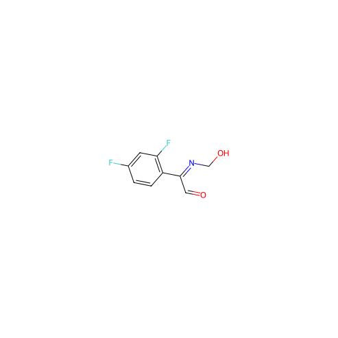 O=C/C(=N\CO)c1ccc(F)cc1F